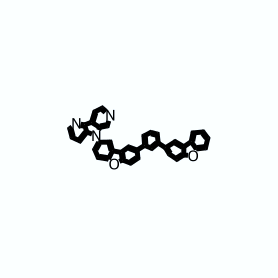 c1cc(-c2ccc3oc4ccccc4c3c2)cc(-c2ccc3oc4ccc(-n5c6cnccc6c6ncccc65)cc4c3c2)c1